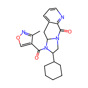 Cc1nocc1C(=O)N1C(C2CCCCC2)CN2C(=O)c3ncccc3CC21